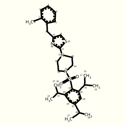 Cc1ccccc1Cc1csc(N2CCN(S(=O)(=O)c3c(C(C)C)cc(C(C)C)cc3C(C)C)CC2)n1